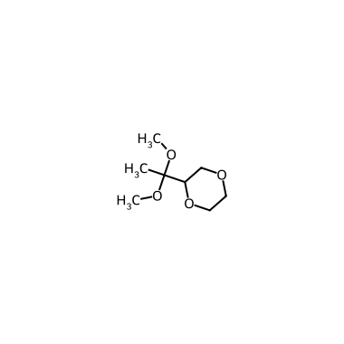 COC(C)(OC)C1COCCO1